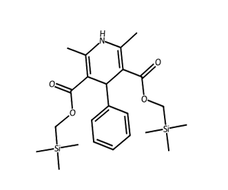 CC1=C(C(=O)OC[Si](C)(C)C)C(c2ccccc2)C(C(=O)OC[Si](C)(C)C)=C(C)N1